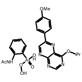 CC(=O)Nc1ccccc1[As](=O)(O)OO.COc1ccc(-c2cnc3ncnc(OC(C)C)c3n2)cc1